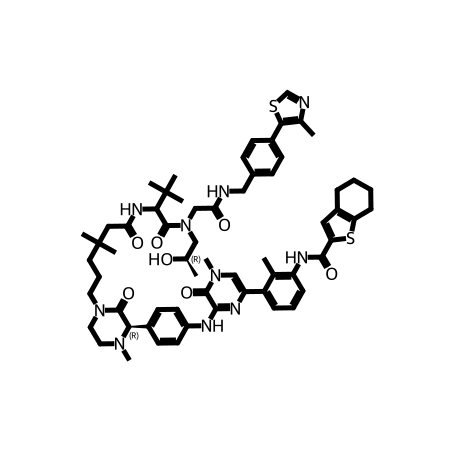 Cc1ncsc1-c1ccc(CNC(=O)CN(C[C@@H](C)O)C(=O)C(NC(=O)CC(C)(C)CCCN2CCN(C)[C@H](c3ccc(Nc4nc(-c5cccc(NC(=O)c6cc7c(s6)CCCC7)c5C)cn(C)c4=O)cc3)C2=O)C(C)(C)C)cc1